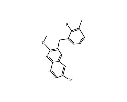 COc1nc2ccc(Br)cc2cc1Cc1cccc(C)c1F